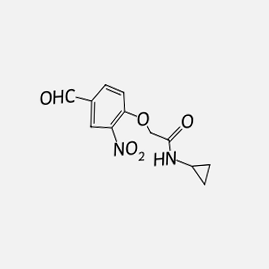 O=Cc1ccc(OCC(=O)NC2CC2)c([N+](=O)[O-])c1